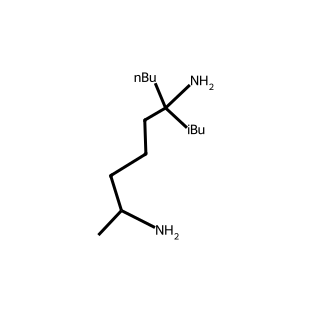 CCCCC(N)(CCCC(C)N)C(C)CC